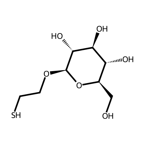 OC[C@H]1O[C@@H](OCCS)[C@H](O)[C@@H](O)[C@@H]1O